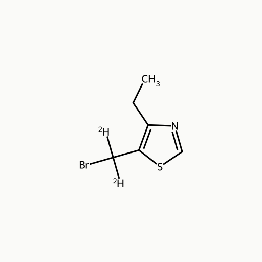 [2H]C([2H])(Br)c1scnc1CC